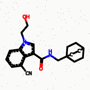 N#Cc1cccc2c1c(C(=O)NCC13CCC(CC1)CC3)cn2CCO